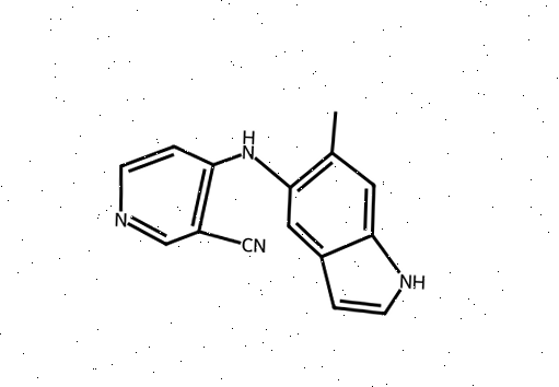 Cc1cc2[nH]ccc2cc1Nc1ccncc1C#N